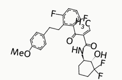 C/C=C(/C(=O)N[C@@H]1CCCC(F)(F)[C@H]1O)C(=O)c1c(F)ccc(F)c1CCc1ccc(OC)cc1